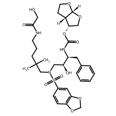 CC(C)(CCCNC(=O)CO)CN(C[C@H](O)[C@H](Cc1ccccc1)NC(=O)O[C@H]1CO[C@H]2OCC[C@H]21)S(=O)(=O)c1ccc2c(c1)OCO2